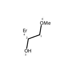 COCCO.[Er]